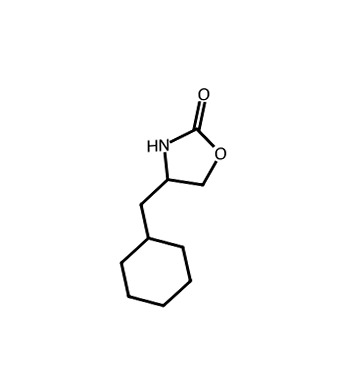 O=C1NC(CC2CCCCC2)CO1